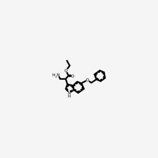 CCOC(=O)C(CN)c1c[nH]c2ccc(OCc3ccccc3)cc12